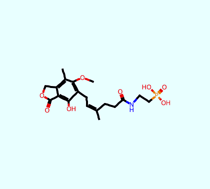 COc1c(C)c2c(c(O)c1CC=C(C)CCC(=O)NCCP(=O)(O)O)C(=O)OC2